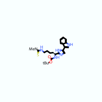 CNC(=S)NCCCC[C@H](NC(=O)OC(C)(C)C)c1ncc(-c2c[nH]c3ccccc23)[nH]1